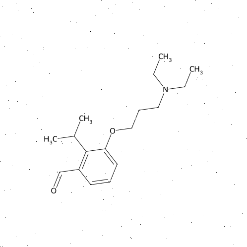 CCN(CC)CCCOc1cccc([C]=O)c1C(C)C